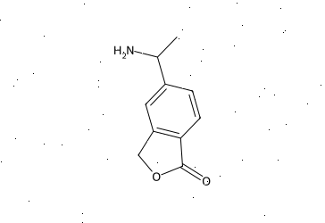 CC(N)c1ccc2c(c1)COC2=O